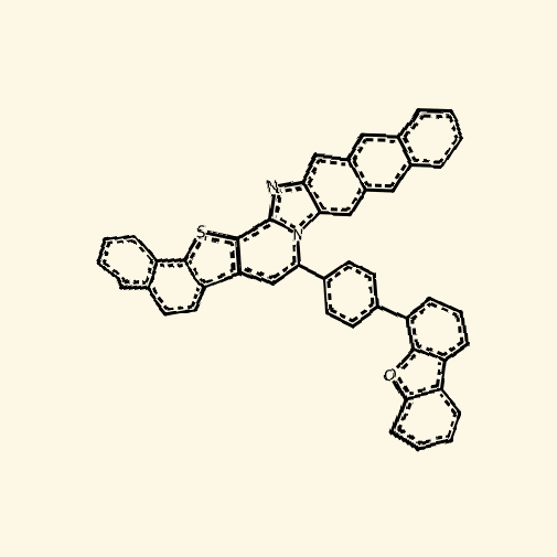 c1ccc2cc3cc4c(cc3cc2c1)nc1c2sc3c5ccccc5ccc3c2cc(-c2ccc(-c3cccc5c3oc3ccccc35)cc2)n41